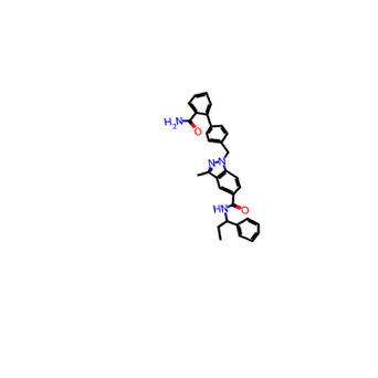 CCC(NC(=O)c1ccc2c(c1)c(C)nn2Cc1ccc(-c2ccccc2C(N)=O)cc1)c1ccccc1